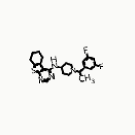 CC(c1cc(F)cc(F)c1)N1CCC(Nc2ncnc3sc4c(c23)CCCC4)CC1